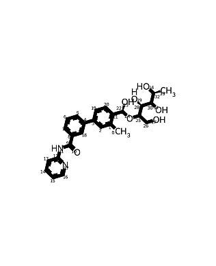 Cc1cc(-c2cccc(C(=O)Nc3ccccn3)c2)ccc1[C@@H](O)OC(CO)[C@@H](O)C(O)[C@H](C)O